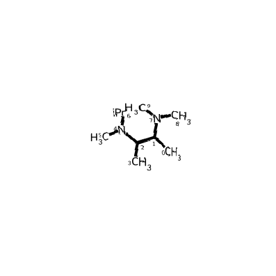 CC(C(C)N(C)C(C)C)N(C)C